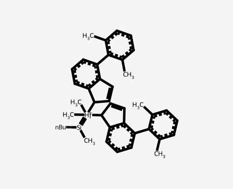 CCCC[Si](C)=[Hf]([CH3])([CH3])([CH]1C=Cc2c(-c3c(C)cccc3C)cccc21)[CH]1C=Cc2c(-c3c(C)cccc3C)cccc21